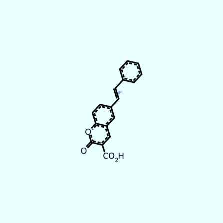 O=C(O)c1cc2cc(/C=C/c3ccccc3)ccc2oc1=O